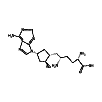 Nc1ncnc2c1ncn2[C@@H]1C[C@H](C[C@@H](N)CC[C@H](N)C(=O)O)[C@@H](O)C1